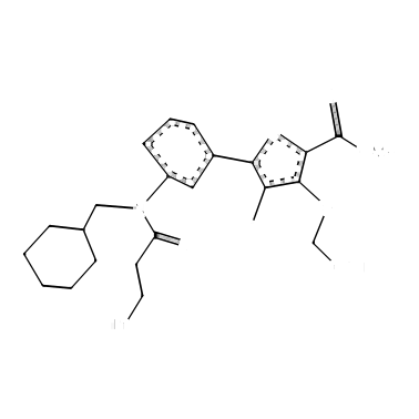 COC(=O)c1sc(-c2cccc(N(CC3CCCCC3)C(=O)CCC(C)C)c2)c(Cl)c1OCC(=O)O